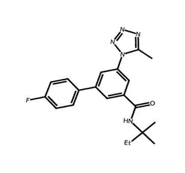 CCC(C)(C)NC(=O)c1cc(-c2ccc(F)cc2)cc(-n2nnnc2C)c1